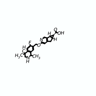 CC1NCC(C)(C)c2cc(F)c(COc3cc4c(cn3)[C@H]3[C@@H](C4)[C@@H]3C(=O)O)cc21